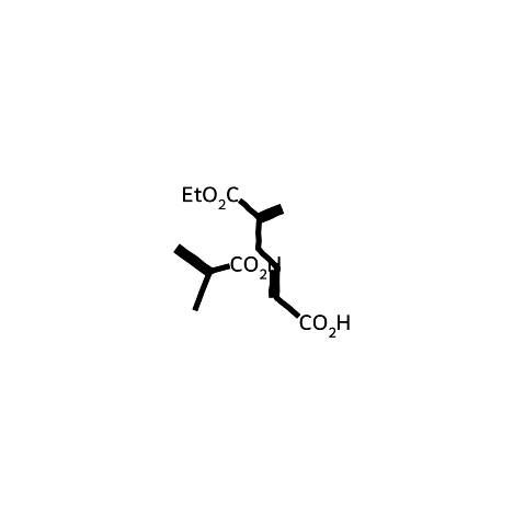 C=C(C)C(=O)O.C=C(CC=CC(=O)O)C(=O)OCC